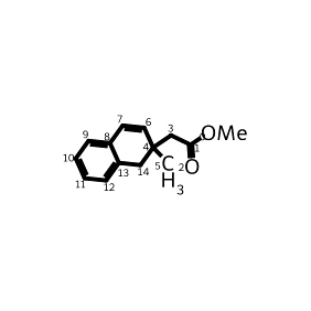 COC(=O)CC1(C)C=Cc2ccccc2C1